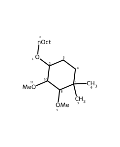 CCCCCCCCOC1CCC(C)(C)C(OC)C1OC